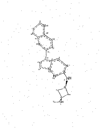 CN[C@H]1C[C@@H](Nc2ncc3c(-c4ccc5ncccc5n4)ccn3n2)C1